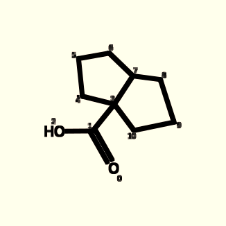 O=C(O)C12[CH]CCC1CCC2